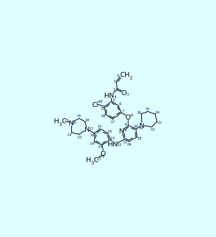 C=CC(=O)Nc1cc(Oc2nc(Nc3ccc(N4CCN(C)CC4)cc3OC)ccc2N2CCCCC2)ccc1Cl